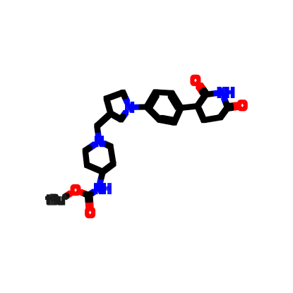 CC(C)(C)OC(=O)NC1CCN(CC2CCN(c3ccc(C4CCC(=O)NC4=O)cc3)C2)CC1